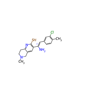 Cc1ccc(/C=C(\N)c2cc3c(nc2S)CCN(C)C3)cc1Cl